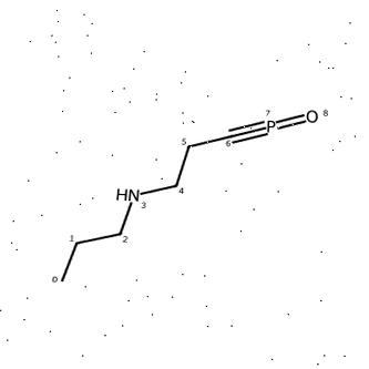 CCCNCCC#P=O